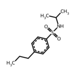 CCCc1ccc(S(=O)(=O)NC(C)C)cc1